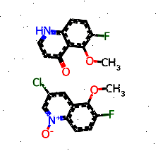 COc1c(F)ccc2[nH]ccc(=O)c12.COc1c(F)ccc2c1cc(Cl)c[n+]2[O-]